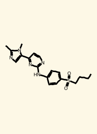 CCCCS(=O)(=O)c1ccc(Nc2nccc(-c3cnc(C)n3C)n2)cc1